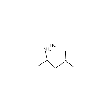 CC(N)CN(C)C.Cl